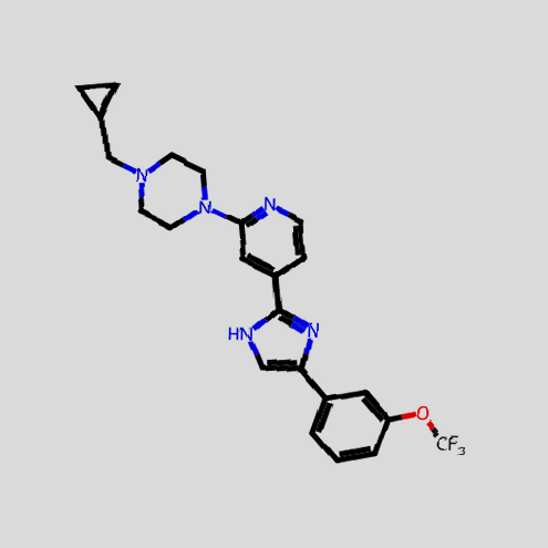 FC(F)(F)Oc1cccc(-c2c[nH]c(-c3ccnc(N4CCN(CC5CC5)CC4)c3)n2)c1